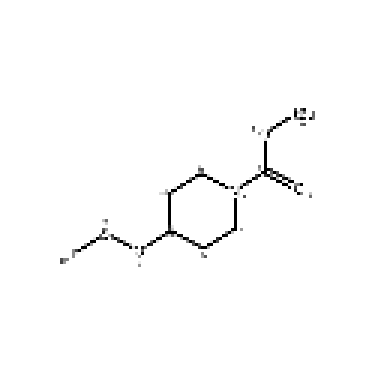 CC(C)(C)OC(=O)N1CCC(OSI)CC1